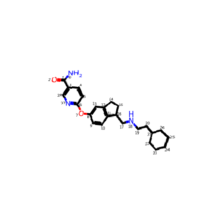 NC(=O)c1ccc(Oc2ccc3c(c2)CCC3CNCCC2CCCCC2)nc1